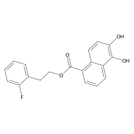 O=C(OCCc1ccccc1F)c1cccc2c(O)c(O)ccc12